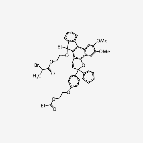 CCC(=O)OCCOc1ccc(C2(c3ccccc3)C=Cc3c4c(c5cc(OC)c(OC)cc5c3O2)-c2ccccc2C4(CC)OCCOC(=O)C(C)Br)cc1